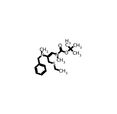 CCSC/C(=C\N(C)C(=O)OC(C)(C)C)N(C)Cc1ccccc1